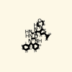 N=C(N[C@H]1N=C(c2ccccc2)c2ccccc2NC1=O)OC(=N)c1cc(C2CC2)sc1N1CCOCC1